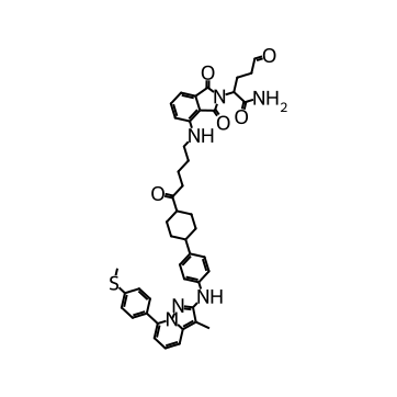 CSc1ccc(-c2cccc3c(C)c(Nc4ccc(C5CCC(C(=O)CCCCNc6cccc7c6C(=O)N(C(CCC=O)C(N)=O)C7=O)CC5)cc4)nn23)cc1